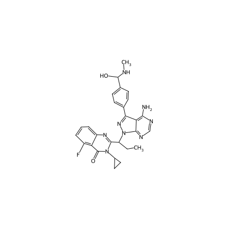 CCC(c1nc2cccc(F)c2c(=O)n1C1CC1)n1nc(-c2ccc(C(O)NC)cc2)c2c(N)ncnc21